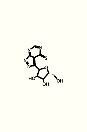 OC[C@H]1OC(C2=C3C(=S)N=CN=C3N=N2)[C@H](O)[C@@H]1O